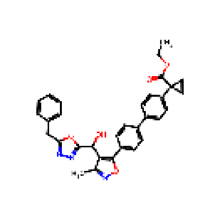 CCOC(=O)C1(c2ccc(-c3ccc(-c4onc(C)c4C(O)c4nnc(Cc5ccccc5)o4)cc3)cc2)CC1